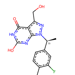 Cc1ccc([C@H](C)n2nc(CO)c3c(=O)[nH]c(O)nc32)cc1F